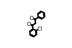 O=C(CC(=O)c1ccccc1Cl)c1ccccc1